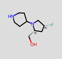 OC[C@H]1C[C@@H](F)CN1C1CCNCC1